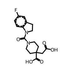 O=C(O)CC1(C(=O)O)CCN(C(=O)N2CCc3cc(F)ccc32)CC1